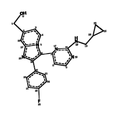 OCc1ccn2c(-c3ccnc(NCC4CC4)n3)c(-c3ccc(F)cc3)nc2c1